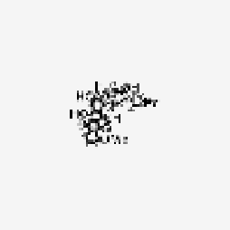 COc1cccc2c1C(=O)c1c(O)c3c(c(O)c1C2=O)C[C@@](O)(C(C)=O)C[C@@H]3O[C@H]1CC(N2CCN(C(C)=O)CC2)C(O)[C@H](C)O1